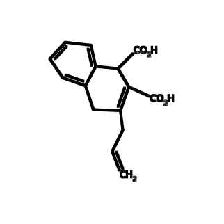 C=CCC1=C(C(=O)O)C(C(=O)O)c2ccccc2C1